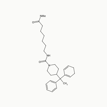 CNC(=O)CCCCCCNC(=O)N1CCC(C(C)(C2=CCCC=C2)c2ccccc2)CC1